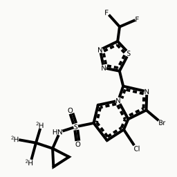 [2H]C([2H])([2H])C1(NS(=O)(=O)c2cc(Cl)c3c(Br)nc(-c4nnc(C(F)F)s4)n3c2)CC1